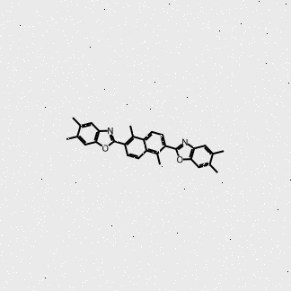 Cc1cc2nc(-c3ccc4c(C)c(-c5nc6cc(C)c(C)cc6o5)ccc4c3C)oc2cc1C